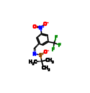 CC(C)(C)[S+]([O-])/N=C\c1cc([N+](=O)[O-])cc(C(F)(F)F)c1